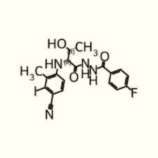 Cc1c(N[C@@H](C(=O)NNC(=O)c2ccc(F)cc2)[C@@H](C)O)ccc(C#N)c1I